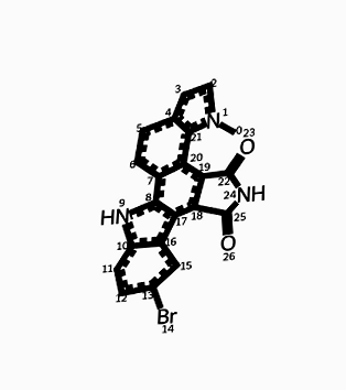 Cn1ccc2ccc3c4[nH]c5ccc(Br)cc5c4c4c(c3c21)C(=O)NC4=O